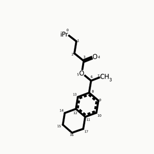 CC(C)CCC(=O)OC(C)c1ccc2c(c1)CCCC2